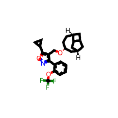 FC(F)(F)Oc1ccccc1-c1noc(C2CC2)c1CO[C@@H]1CC[C@H]2CC3C[C@@H](CC32)C1